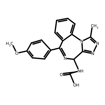 COc1ccc(C2=NC(NC(=O)O)c3nnc(C)n3-c3ccccc32)cc1